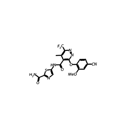 COc1cc(C#N)ccc1Oc1nnc(C(F)(F)F)c(C)c1C(=O)Nc1cnc(C(N)=O)s1